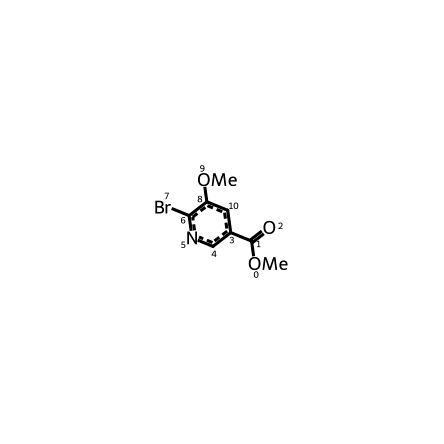 COC(=O)c1cnc(Br)c(OC)c1